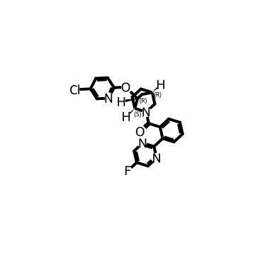 O=C(c1ccccc1-c1ncc(F)cn1)N1C[C@@H]2CC[C@H]1[C@H](Oc1ccc(Cl)cn1)C2